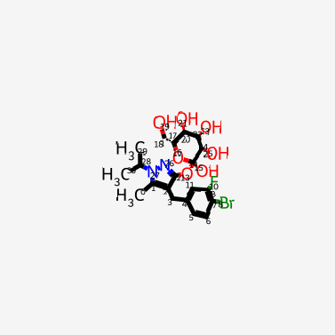 Cc1c(Cc2ccc(Br)c(F)c2)c(O[C@]2(O)O[C@H](CO)[C@@H](O)[C@H](O)[C@H]2O)nn1C(C)C